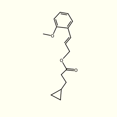 COc1ccccc1/C=C/COC(=O)CCC1CC1